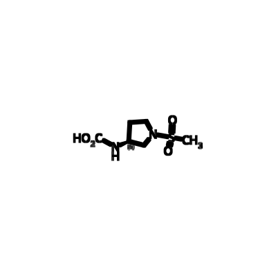 CS(=O)(=O)N1CC[C@H](NC(=O)O)C1